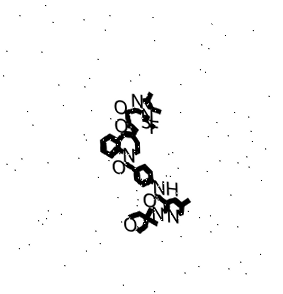 Cc1cnc(N2CC3(CCOCC3)C2)c(C(=O)Nc2ccc(C(=O)N3CCc4cc(C(=O)c5nc(C)c(C)n5SF)oc4-c4ccccc43)cc2)c1